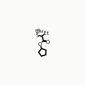 CCC(SC(C)(C)C)C(=O)OC1CCCC1